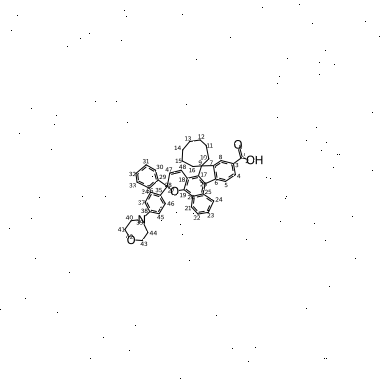 O=C(O)c1ccc2c(c1)C1(CCCCCCC1)c1c3c(c4ccccc4c1-2)OC(c1ccccc1)(c1ccc(N2CCOCC2)cc1)C=C3